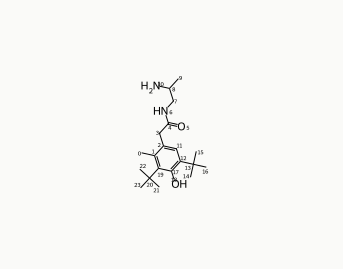 Cc1c(CC(=O)NCC(C)N)cc(C(C)(C)C)c(O)c1C(C)(C)C